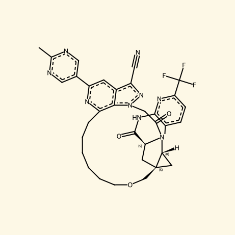 Cc1ncc(-c2cc3c(C#N)nn4c3c(n2)CCCCCCOC[C@@]23C[C@@H](C(=O)Nc5nc(C(F)(F)F)ccc5C)N(C(=O)C4)[C@@H]2C3)cn1